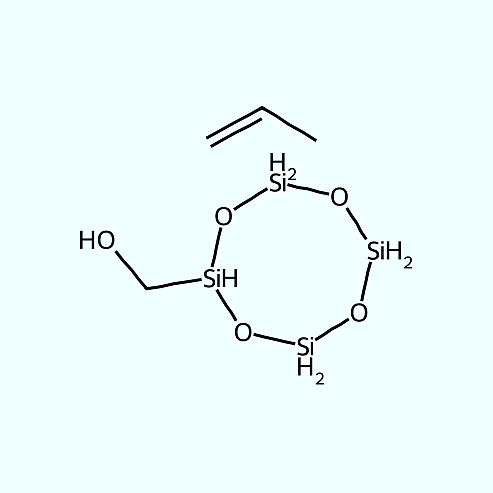 C=CC.OC[SiH]1O[SiH2]O[SiH2]O[SiH2]O1